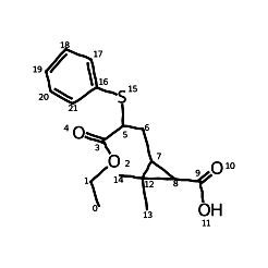 CCOC(=O)C(CC1C(C(=O)O)C1(C)C)Sc1ccccc1